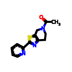 CC(=O)N1CCc2nc(-c3ccccn3)sc2C1